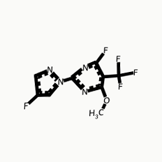 COc1nc(-n2cc(F)cn2)nc(F)c1C(F)(F)F